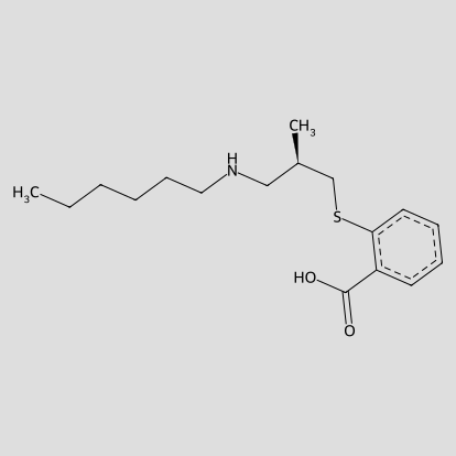 CCCCCCNC[C@@H](C)CSc1ccccc1C(=O)O